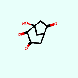 O=C1CC2CC(O)(CC2=O)C1=O